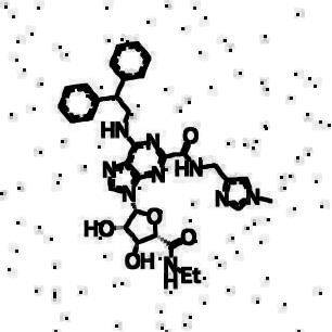 CCNC(=O)[C@H]1O[C@@H](n2cnc3c(NCC(c4ccccc4)c4ccccc4)nc(C(=O)NCc4cn(C)cn4)nc32)[C@@H](O)[C@@H]1O